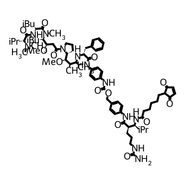 CC[C@@H](C)[C@H]([C@H](CC(=O)N1CCC[C@@H]1[C@@H](OC)[C@H](C)C(C)N[C@H](Cc1ccccc1)C(=O)Nc1ccc(NC(=O)OCc2ccc(NC(=O)[C@H](CCCNC(N)=O)[C@@H](NC(=O)CCCCCC3C(=O)C=CC3=O)C(C)C)cc2)cc1)OC)N(C)C(=O)[C@H](NC(=O)[C@@H](C(C)C)N(C)C)[C@@H](C)CC